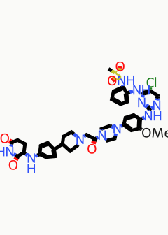 COc1cc(N2CCN(C(=O)CN3CCC(c4ccc(NC5CCC(=O)NC5=O)cc4)CC3)CC2)ccc1Nc1ncc(Cl)c(Nc2ccccc2NS(C)(=O)=O)n1